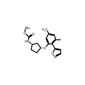 Cc1cc(F)c(-c2ccno2)c(O[C@@H]2CC[C@@H](NC(=O)OC(C)(C)C)C2)c1